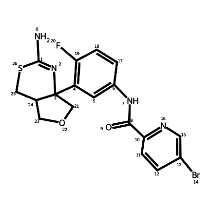 NC1=NC2(c3cc(NC(=O)c4ccc(Br)cn4)ccc3F)COCC2CS1